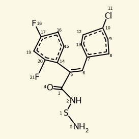 NSNC(=O)/C(=C/c1ccc(Cl)cc1)c1ccc(F)cc1F